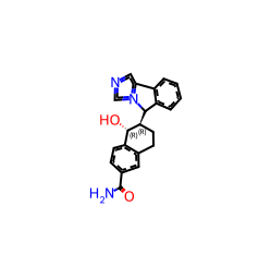 NC(=O)c1ccc2c(c1)CC[C@H](C1c3ccccc3-c3cncn31)[C@H]2O